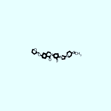 COC1CCN(C2CCN(c3ccc(N4CCc5cc(OC[C@@H]6CCCO6)ccc5C4=O)cc3F)C2)CC1